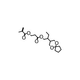 C=C(C)C(=O)OCCC(=O)OCC(CC)C1COC2(CCCC2)OC1